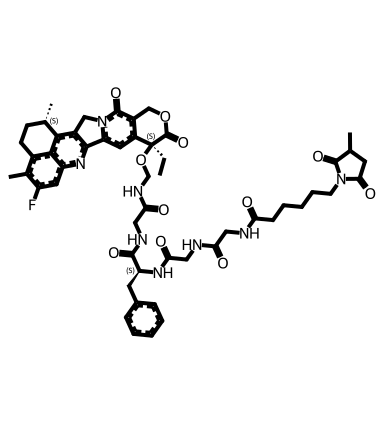 CC[C@@]1(OCNC(=O)CNC(=O)[C@H](Cc2ccccc2)NC(=O)CNC(=O)CNC(=O)CCCCCN2C(=O)CC(C)C2=O)C(=O)OCc2c1cc1n(c2=O)Cc2c-1nc1cc(F)c(C)c3c1c2[C@@H](C)CC3